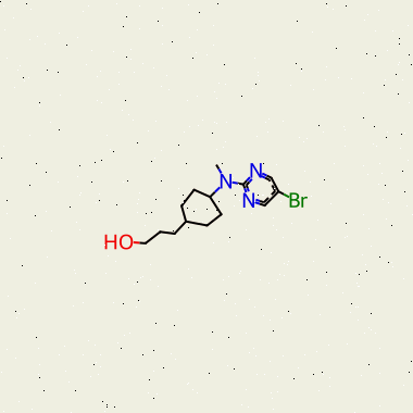 CN(c1ncc(Br)cn1)C1CCC(CCCO)CC1